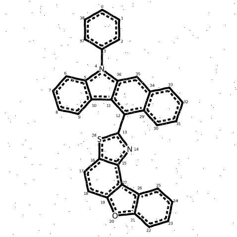 c1ccc(-n2c3ccccc3c3c(-c4nc5c(ccc6oc7ccccc7c65)s4)c4ccccc4cc32)cc1